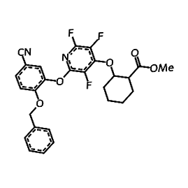 COC(=O)C1CCCCC1Oc1c(F)c(F)nc(Oc2cc(C#N)ccc2OCc2ccccc2)c1F